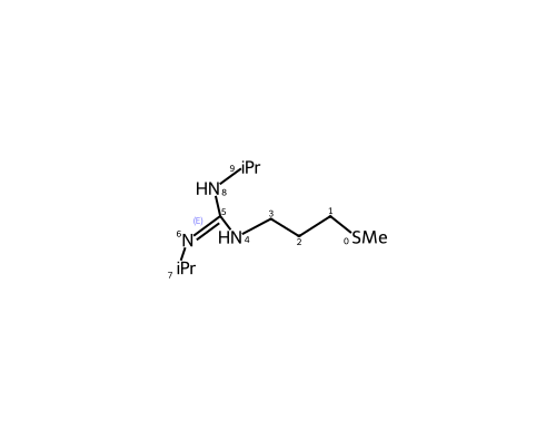 CSCCCN/C(=N\C(C)C)NC(C)C